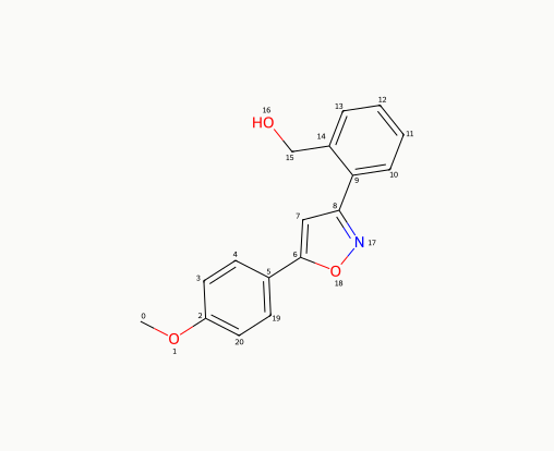 COc1ccc(-c2cc(-c3ccccc3CO)no2)cc1